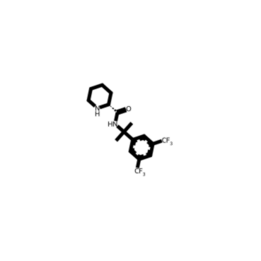 CC(C)(NC(=O)[C@H]1CCCCN1)c1cc(C(F)(F)F)cc(C(F)(F)F)c1